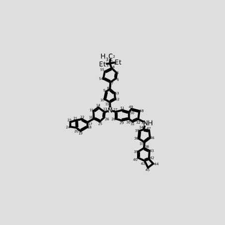 CCC(C)(CC)c1ccc(-c2ccc(N(c3ccc(-c4ccc5c(c4)CC5)cc3)c3ccc4cc(Nc5ccc(-c6ccc7c(c6)CC7)cc5)ccc4c3)cc2)cc1